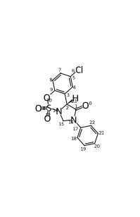 O=C1[C@H]2c3cc(Cl)ccc3OS(=O)(=O)N2CN1c1ccccc1